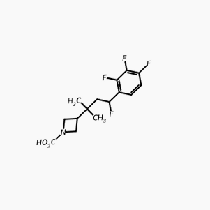 CC(C)(CC(F)c1ccc(F)c(F)c1F)C1CN(C(=O)O)C1